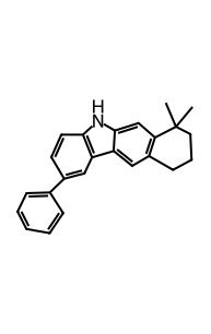 CC1(C)CCCc2cc3c(cc21)[nH]c1ccc(-c2ccccc2)cc13